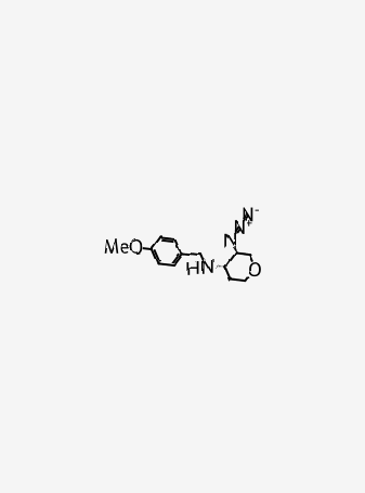 COc1ccc(CN[C@H]2CCOC[C@@H]2N=[N+]=[N-])cc1